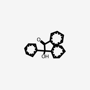 O=C(c1ccccc1)C(O)(c1ccccc1)c1ccccc1